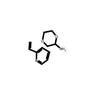 C=Cc1ccccn1.NC1COCCO1